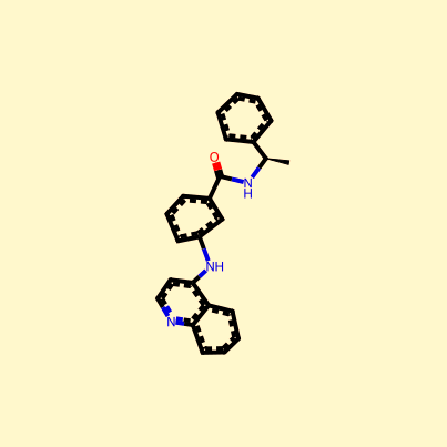 C[C@@H](NC(=O)c1cccc(Nc2ccnc3ccccc23)c1)c1ccccc1